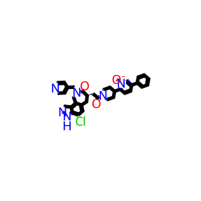 O=C(C[C@@H]1Cc2cc(Cl)c3[nH]ncc3c2CN(Cc2ccncc2)C1=O)N1CCC(c2ccc(-c3ccccc3)c[n+]2[O-])CC1